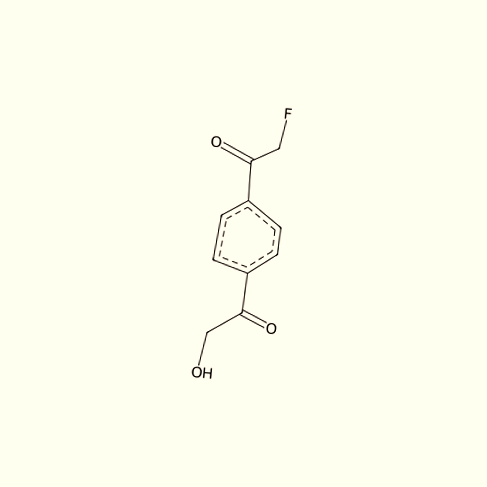 O=C(CO)c1ccc(C(=O)CF)cc1